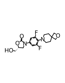 O=C1O[C@@H](CO)CN1c1cc(F)c(N2CCC3(CC2)COC3)c(F)c1